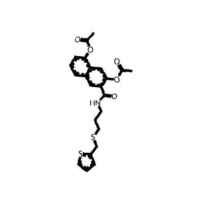 CC(=O)Oc1cc2c(OC(C)=O)cccc2cc1C(=O)NCCCSCc1cccs1